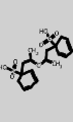 CC(CC1(S(=O)(=O)O)C=CC=CC1)OC(C)CC1(S(=O)(=O)O)C=CC=CC1